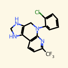 FC(F)(F)c1ccc2c(n1)N(c1ccccc1Cl)CC1=C2NCN1